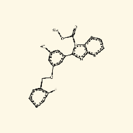 CC(C)(C)OC(=O)n1c(-c2cc(O)cc(OCc3ccccc3F)c2)nc2ncccc21